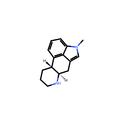 [CH2]n1cc2c3c(cccc31)[C@H]1CCCN[C@@H]1C2